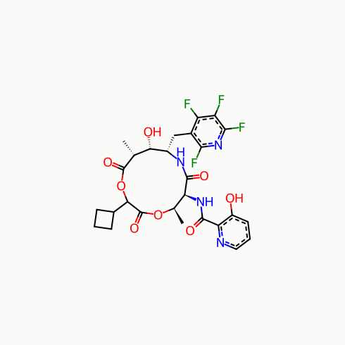 C[C@H]1OC(=O)C(C2CCC2)OC(=O)[C@H](C)[C@H](O)[C@H](Cc2c(F)nc(F)c(F)c2F)NC(=O)[C@H]1NC(=O)c1ncccc1O